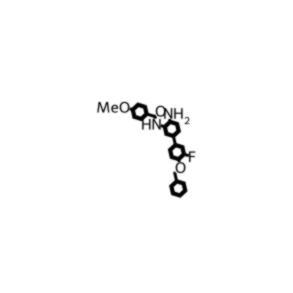 COc1ccc(C(=O)Nc2cc(-c3ccc(OCc4ccccc4)c(F)c3)ccc2N)cc1